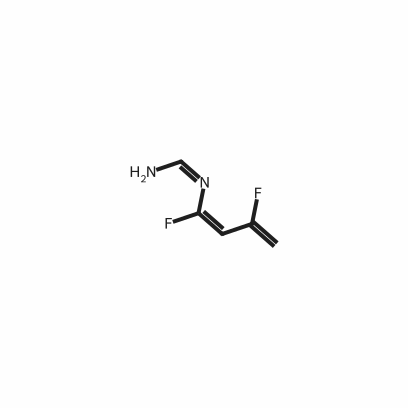 C=C(F)/C=C(F)\N=C/N